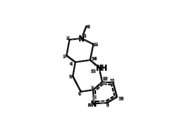 CN1CCC2CCc3ncccc3NC2C1